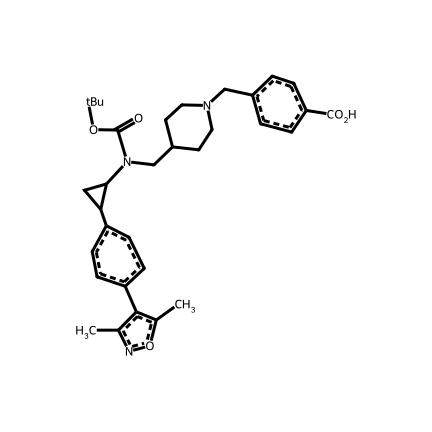 Cc1noc(C)c1-c1ccc(C2CC2N(CC2CCN(Cc3ccc(C(=O)O)cc3)CC2)C(=O)OC(C)(C)C)cc1